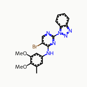 COc1cc(Nc2nc(-n3nnc4ccccc43)ncc2Br)cc(C)c1OC